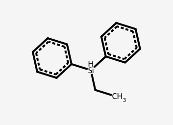 CC[SiH](c1ccccc1)c1ccccc1